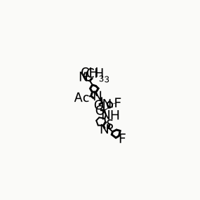 C/C=C(\C=N/C)c1ccc2c(c1)c(C(C)=O)cn2CC(=O)N1C[C@H](F)C[C@H]1C(=O)NC1CCCc2nc(-c3ccc(F)cc3)sc21